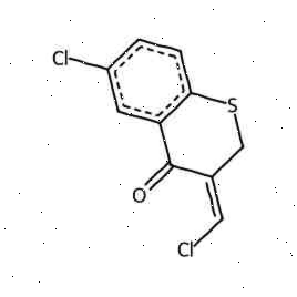 O=C1C(=CCl)CSc2ccc(Cl)cc21